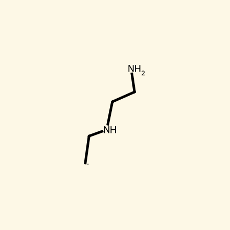 [CH2]CNCCN